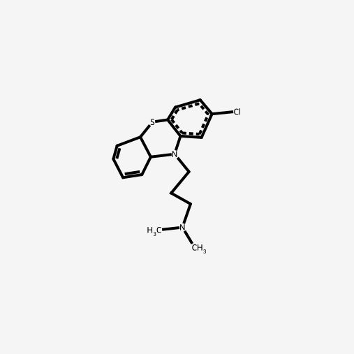 CN(C)CCCN1c2cc(Cl)ccc2SC2C=CC=CC21